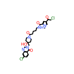 Cn1cc(C(=O)CCl)cc1C(=O)NCCCCC(=O)N1CCC(O)(Cn2cnc3cc(Cl)ccc3c2=O)CC1